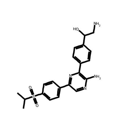 CC(C)S(=O)(=O)c1ccc(-c2cnc(N)c(-c3ccc(C(O)CN)cc3)n2)cc1